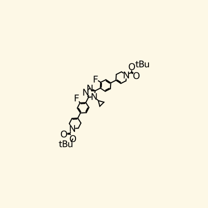 CC(C)(C)OC(=O)N1CC=C(c2ccc(-c3nnc(-c4ccc(C5=CCN(C(=O)OC(C)(C)C)CC5)cc4F)n3C3CC3)c(F)c2)CC1